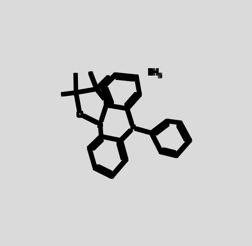 B.CC1(C)OB(c2ccccc2P(c2ccccc2)c2ccccc2)OC1(C)C